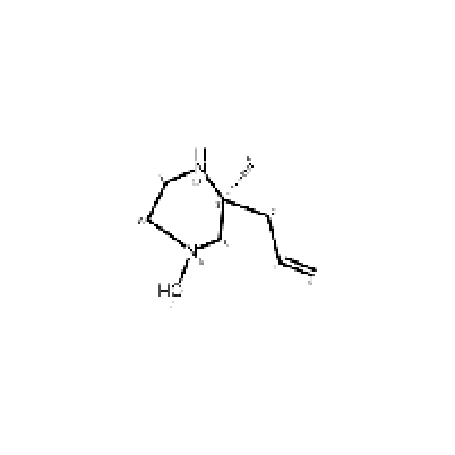 C=CC[C@@]1(C)CN(O)CCN1